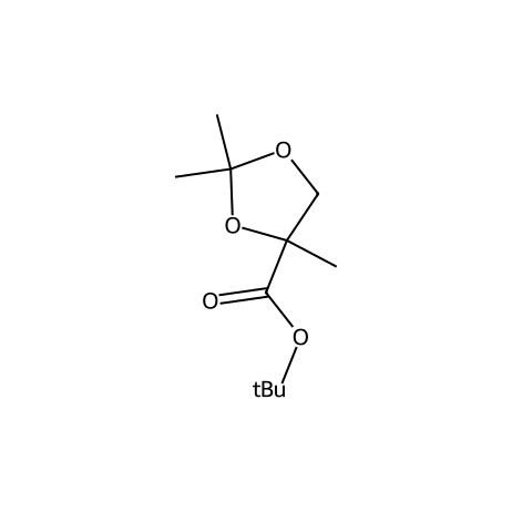 CC(C)(C)OC(=O)C1(C)COC(C)(C)O1